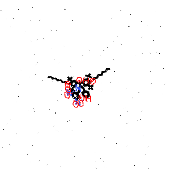 CCCCCCCCOc1c(C(C)(C)C)cc(C(O)(c2cc(C(C)(C)C)c(OCCCCCCCC)c(C(C)(C)C)c2)C(Cc2ccccc2)N=Cc2cc([N+](=O)[O-])cc([N+](=O)[O-])c2O)cc1C(C)(C)C